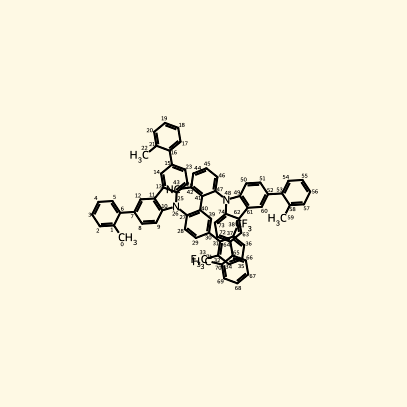 Cc1ccccc1-c1ccc2c(c1)c1cc(-c3ccccc3C)ccc1n2-c1ccc(-c2c(C(F)(F)F)cccc2C(F)(F)F)cc1-c1c(C#N)cccc1-n1c2ccc(-c3ccccc3C)cc2c2cc(-c3ccccc3C)ccc21